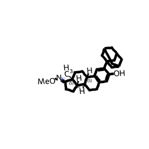 CO/N=C1\CC[C@H]2[C@@H]3CCc4cc(O)c(C56CC7CC(CC(C7)C5)C6)cc4[C@H]3CC[C@]12C